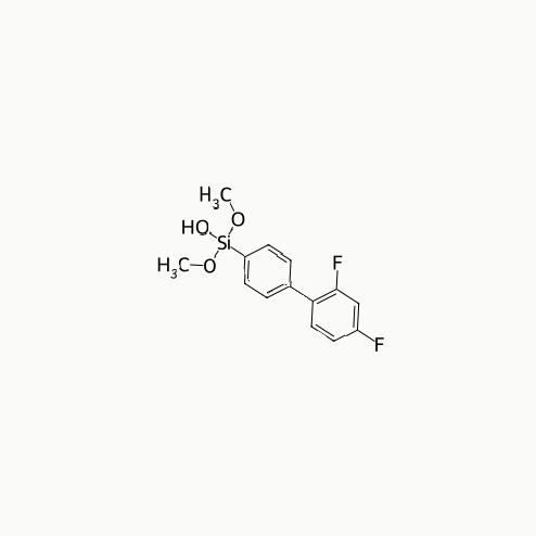 CO[Si](O)(OC)c1ccc(-c2ccc(F)cc2F)cc1